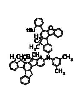 Cc1cc(C)cc(N(c2ccc3c(c2)C(C)(C)c2cc(-c4ccccc4C(C)(C)C)c4oc5ccccc5c4c2-3)c2ccc3c(c2)C(C)(C)c2c-3c3c(c4c2C(C)(C)c2ccccc2-4)-c2ccccc2C3)c1